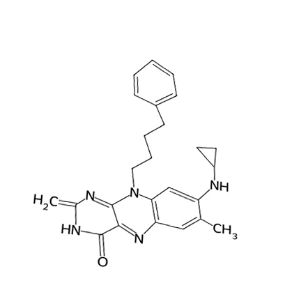 C=c1nc2c(c(=O)[nH]1)=Nc1cc(C)c(NC3CC3)cc1N2CCCCc1ccccc1